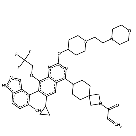 C=CC(=O)N1CC2(CCN(c3nc(OC4CCN(CCN5CCOCC5)CC4)nc4c(OCC(F)(F)F)c(-c5c(C)ccc6[nH]ncc56)c(C5CC5)cc34)CC2)C1